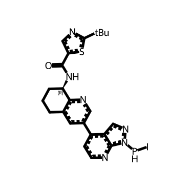 CC(C)(C)c1ncc(C(=O)N[C@@H]2CCCc3cc(-c4ccnc5c4cnn5PI)cnc32)s1